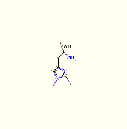 NC(Cc1cn(I)c(I)n1)C(=O)O